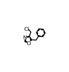 ClCc1ncoc1Cc1ccccc1